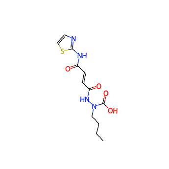 CCCCN(NC(=O)C=CC(=O)Nc1nccs1)C(=O)O